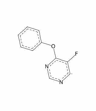 Fc1[c]ncnc1Oc1ccccc1